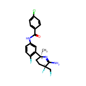 C[C@@]1(c2cc(NC(=O)c3ccc(Cl)cc3)ccc2F)CC[C@@](F)(CF)C(N)=N1